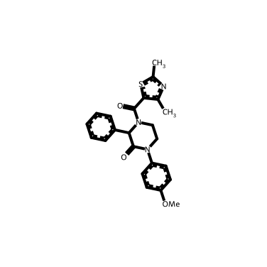 COc1ccc(N2CCN(C(=O)c3sc(C)nc3C)C(c3ccccc3)C2=O)cc1